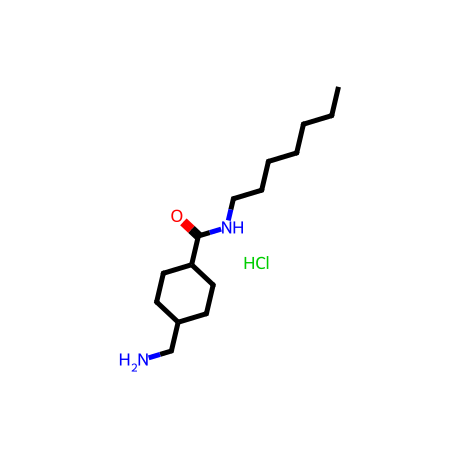 CCCCCCCNC(=O)C1CCC(CN)CC1.Cl